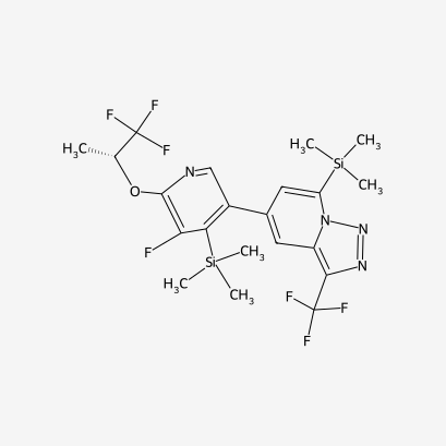 C[C@@H](Oc1ncc(-c2cc([Si](C)(C)C)n3nnc(C(F)(F)F)c3c2)c([Si](C)(C)C)c1F)C(F)(F)F